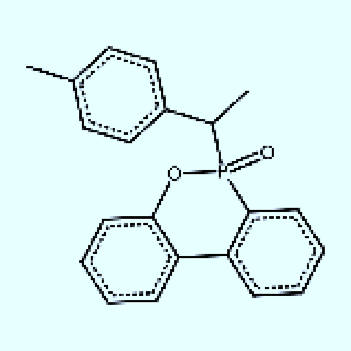 Cc1ccc(C(C)P2(=O)Oc3ccccc3-c3ccccc32)cc1